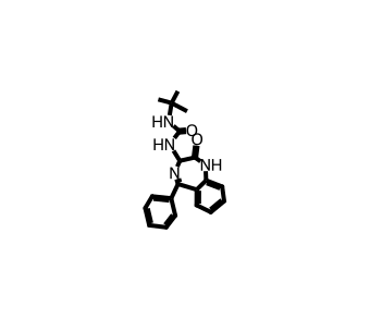 CC(C)(C)NC(=O)NC1N=C(c2ccccc2)c2ccccc2NC1=O